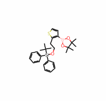 CC1(C)OB(c2ccsc2CCO[Si](c2ccccc2)(c2ccccc2)C(C)(C)C)OC1(C)C